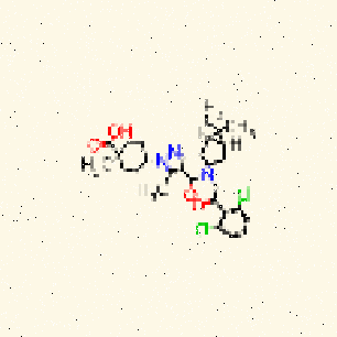 Cc1c(C(=O)N(CC(=O)c2c(Cl)cccc2Cl)[C@@H]2C[C@@H]3[C@H](C2)C3(C)C)cnn1[C@H]1CC[C@](C)(C(=O)O)CC1